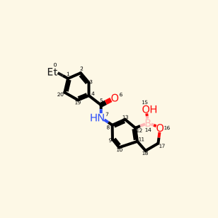 CCc1ccc(C(=O)Nc2ccc3c(c2)B(O)OCC3)cc1